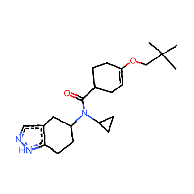 CC(C)(C)COC1=CCC(C(=O)N(C2CC2)C2CCc3[nH]ncc3C2)CC1